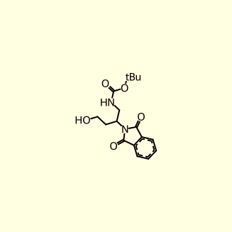 CC(C)(C)OC(=O)NCC(CCO)N1C(=O)c2ccccc2C1=O